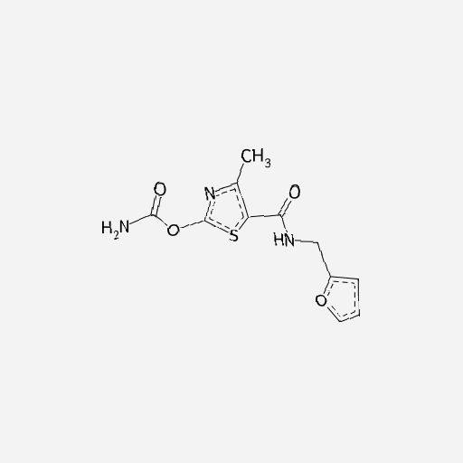 Cc1nc(OC(N)=O)sc1C(=O)NCc1ccco1